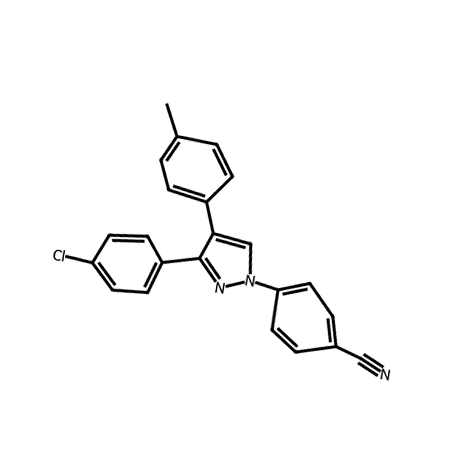 Cc1ccc(-c2cn(-c3ccc(C#N)cc3)nc2-c2ccc(Cl)cc2)cc1